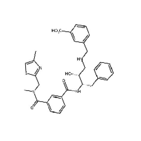 Cc1csc(CN(C)C(=O)c2cccc(C(=O)N[C@@H](Cc3ccccc3)[C@H](O)CNCc3cccc(C(=O)O)c3)c2)n1